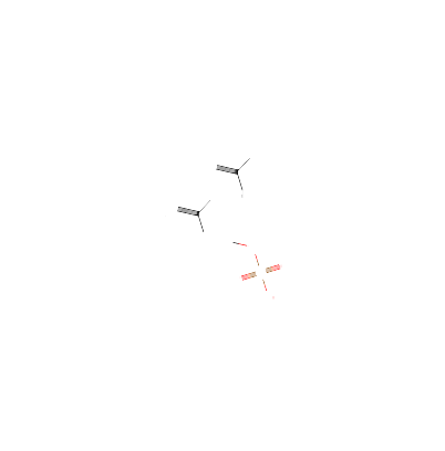 C=C(C)C.C=C(C)C(=O)O.COS(=O)(=O)O